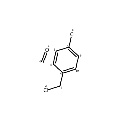 C=O.ClCc1ccc(Cl)cc1